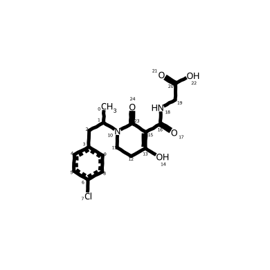 CC(Cc1ccc(Cl)cc1)N1CCC(O)=C(C(=O)NCC(=O)O)C1=O